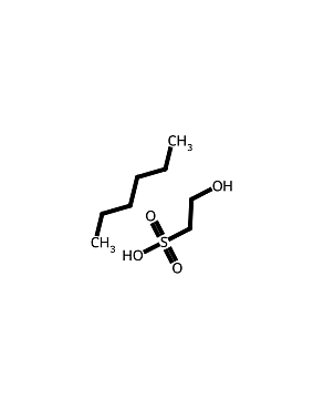 CCCCCC.O=S(=O)(O)CCO